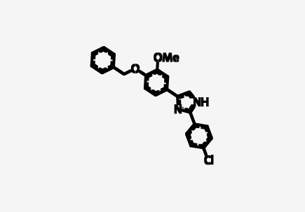 COc1cc(-c2c[nH]c(-c3ccc(Cl)cc3)n2)ccc1OCc1ccccc1